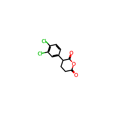 O=C1CCC(c2ccc(Cl)c(Cl)c2)C(=O)O1